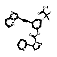 O=C(Nc1cccc(C#Cc2cnc3cccnn23)c1)N1N=CCC1c1ccccn1.O=C(O)C(F)(F)F